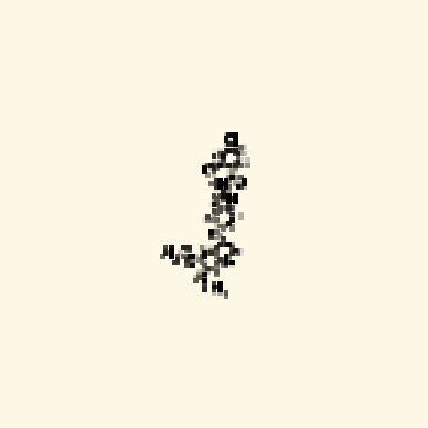 COc1cc2nccc(Oc3ccc4nc(NC(=O)c5ccc(Cl)cc5Cl)sc4c3)c2cc1OC